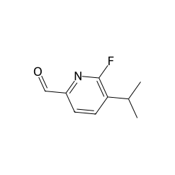 CC(C)c1ccc(C=O)nc1F